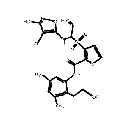 C=CC(Nc1onc(C)c1Cl)S(=O)(=O)c1ccsc1C(=O)Nc1cc(C)cc(C)c1CCO